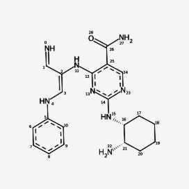 N=C/C(=C\Nc1ccccc1)Nc1nc(N[C@@H]2CCCC[C@@H]2N)ncc1C(N)=O